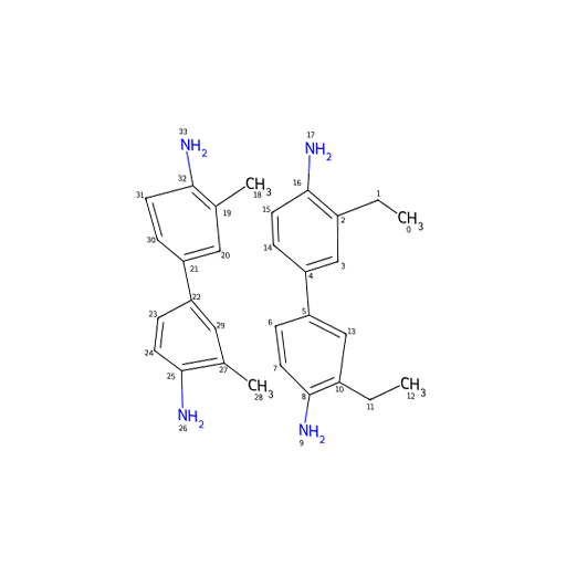 CCc1cc(-c2ccc(N)c(CC)c2)ccc1N.Cc1cc(-c2ccc(N)c(C)c2)ccc1N